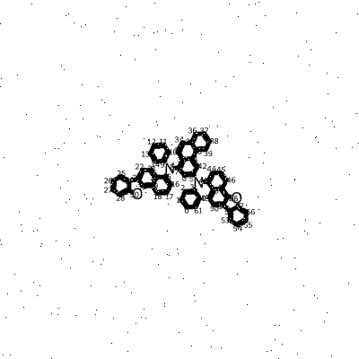 c1ccc(N(c2cc(N(c3ccccc3)c3cccc4c3ccc3c5ccccc5oc43)c3ccc4ccccc4c3c2)c2cccc3c2ccc2c4ccccc4oc32)cc1